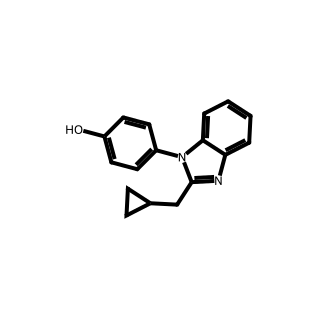 Oc1ccc(-n2c(CC3CC3)nc3ccccc32)cc1